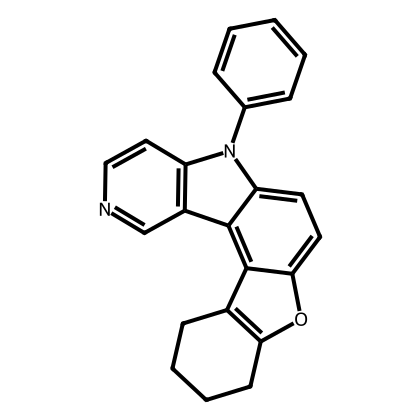 c1ccc(-n2c3ccncc3c3c4c5c(oc4ccc32)CCCC5)cc1